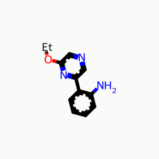 CCOc1cncc(-c2ccccc2N)n1